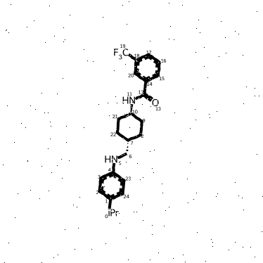 CC(C)c1ccc(NC[C@H]2CC[C@H](NC(=O)c3cccc(C(F)(F)F)c3)CC2)cc1